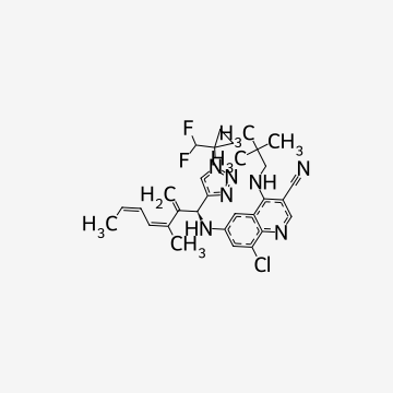 C=C(/C(C)=C\C=C/C)[C@H](Nc1cc(Cl)c2ncc(C#N)c(NCC(C)(C)C)c2c1)c1cn(C2(C(F)F)CC2)nn1